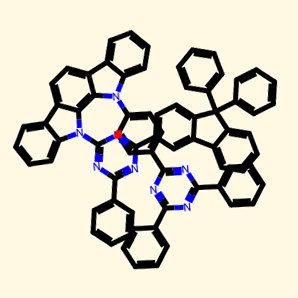 c1ccc(-c2nc(-c3ccccc3)nc(-c3ccc(-n4c5ccccc5c5ccc6c7ccccc7n(-c7nc(-c8ccccc8)nc(-c8ccc9c(c8)-c8ccccc8C9(c8ccccc8)c8ccccc8)n7)c6c54)cc3)n2)cc1